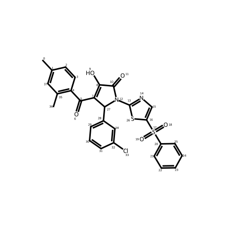 Cc1ccc(C(=O)C2=C(O)C(=O)N(c3ncc(S(=O)(=O)c4ccccc4)s3)C2c2cccc(Cl)c2)c(C)c1